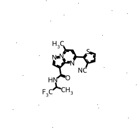 Cc1cc(-c2sccc2C#N)nc2c(C(=O)NC(C)C(F)(F)F)cnn12